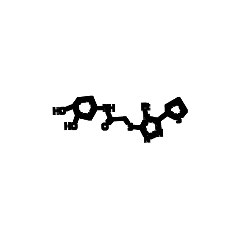 CCn1c(SCC(=O)Nc2ccc(O)c(O)c2)nnc1-c1cccs1